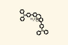 C[Si]1(C)c2cc(-c3ccc(N(c4ccccc4)c4ccccc4)cc3)ccc2C=Cc2ccc(-c3ccc(N(c4ccccc4)c4ccccc4)cc3)cc21